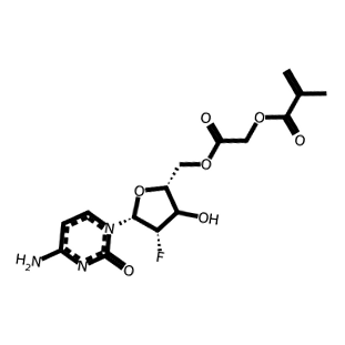 C=C(C)C(=O)OCC(=O)OC[C@H]1O[C@@H](n2ccc(N)nc2=O)[C@@H](F)C1O